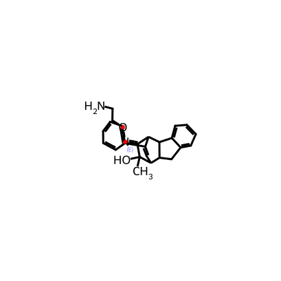 CC1(O)/C(=N/OCCN)C2C(c3ccccc3)=CC1C1Cc3ccccc3C21